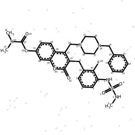 CNS(=O)(=O)Nc1cccc(Cc2c(CN3CCN(Cc4ccccc4)CC3)c3ccc(OC(=O)N(C)C)cc3oc2=O)c1F